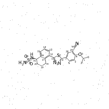 CC(C)Oc1ccc(-c2nnc(-c3cccc4c3CCC[C@H]4NS(N)(=O)=O)s2)cc1C#N